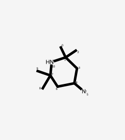 CC1(C)CC([N])CC(C)(C)N1